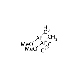 C[O][Al+][CH3].C[O][Al+][CH3].[C-]#[C-]